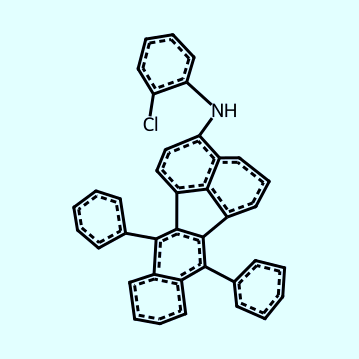 Clc1ccccc1Nc1ccc2c3c(cccc13)-c1c-2c(-c2ccccc2)c2ccccc2c1-c1ccccc1